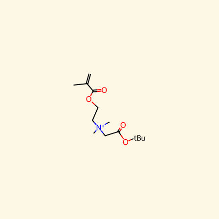 C=C(C)C(=O)OCC[N+](C)(C)CC(=O)OC(C)(C)C